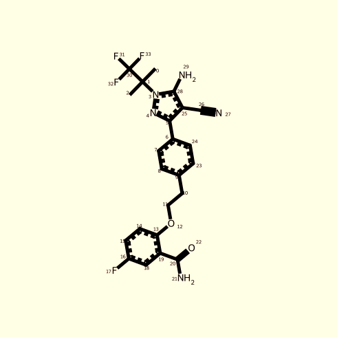 CC(C)(n1nc(-c2ccc(CCOc3ccc(F)cc3C(N)=O)cc2)c(C#N)c1N)C(F)(F)F